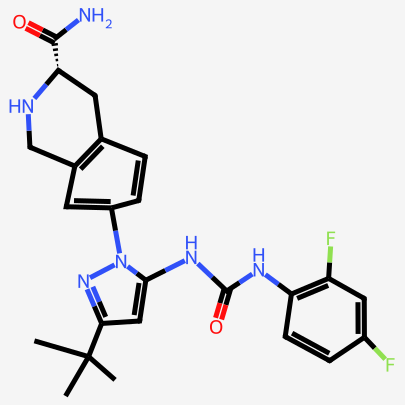 CC(C)(C)c1cc(NC(=O)Nc2ccc(F)cc2F)n(-c2ccc3c(c2)CN[C@H](C(N)=O)C3)n1